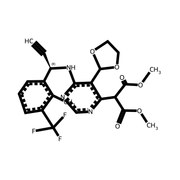 C#C[C@@H](Nc1ncnc(C(C(=O)OC)C(=O)OC)c1C1OCCO1)c1cccc(C(F)(F)F)c1C